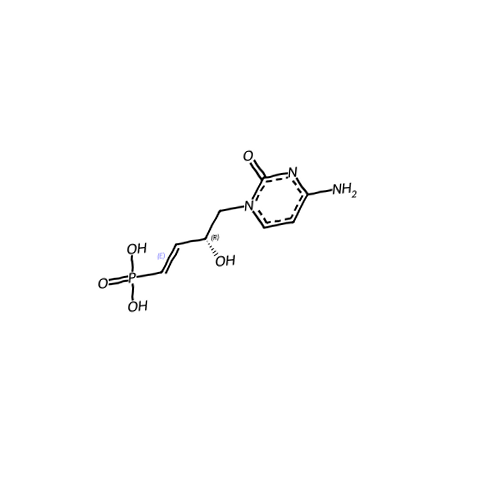 Nc1ccn(C[C@H](O)/C=C/P(=O)(O)O)c(=O)n1